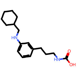 O=C(O)NCCCc1cccc(NCC2CCCCC2)c1